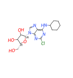 OC[C@H]1O[C@@H](n2cnc3c(NC4CCCCC4)nc(Cl)nc32)C(O)C1O